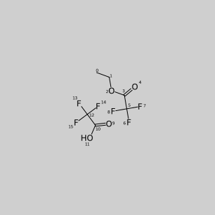 CCOC(=O)C(F)(F)F.O=C(O)C(F)(F)F